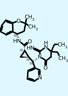 CCC1(CC)CC(=O)N([C@H](c2cccnc2)[C@H]2C[C@@H]2C(=O)N[C@H]2CC(C)(C)Oc3ccccc32)C(=N)N1